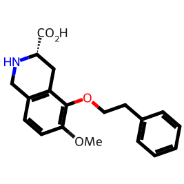 COc1ccc2c(c1OCCc1ccccc1)C[C@@H](C(=O)O)NC2